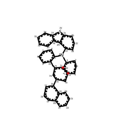 c1ccc(N(c2ccccc2-c2cccc(-c3cccc4ccccc34)c2)c2cccc3sc4ccccc4c23)cc1